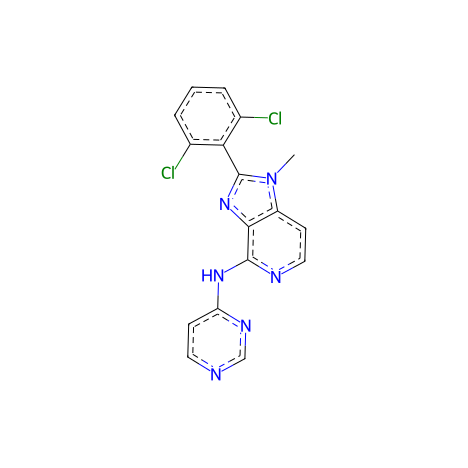 Cn1c(-c2c(Cl)cccc2Cl)nc2c(Nc3ccncn3)nccc21